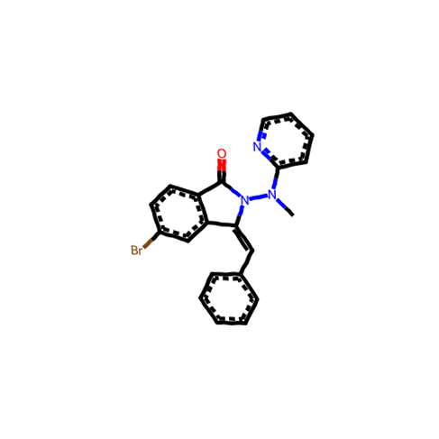 CN(c1ccccn1)N1C(=O)c2ccc(Br)cc2C1=Cc1ccccc1